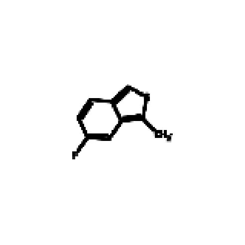 [CH2]c1scc2ccc(F)cc12